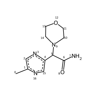 Cc1cnc(C(C(N)=O)N2CCOCC2)cn1